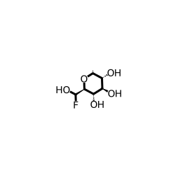 OC(F)[C@H]1O[CH][C@H](O)[C@@H](O)[C@@H]1O